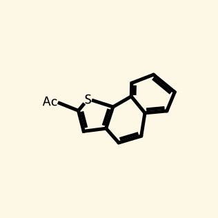 CC(=O)c1cc2ccc3ccccc3c2s1